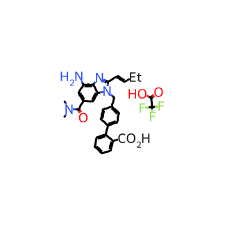 CCC=Cc1nc2c(N)cc(C(=O)N(C)C)cc2n1Cc1ccc(-c2ccccc2C(=O)O)cc1.O=C(O)C(F)(F)F